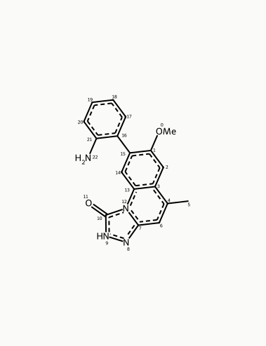 COc1cc2c(C)cc3n[nH]c(=O)n3c2cc1-c1ccccc1N